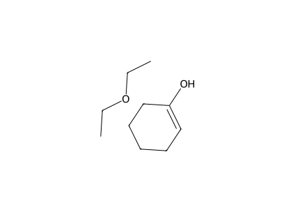 CCOCC.OC1=CCCCC1